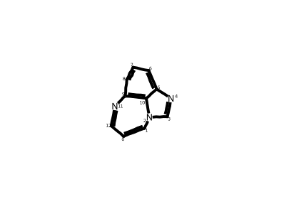 C1=Cn2cnc3cccc(c32)N=C1